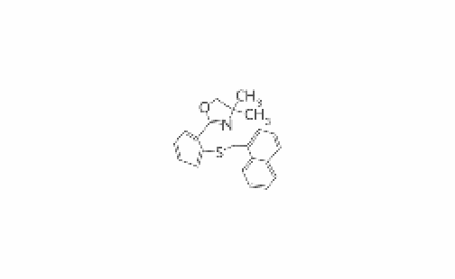 CC1(C)COC(c2ccccc2SCc2cccc3ccccc23)=N1